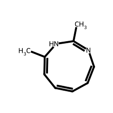 Cc1cccccnc(C)[nH]1